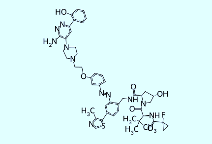 Cc1ncsc1-c1ccc(CNC(=O)[C@H]2C[C@H](O)CN2C(=O)[C@@H](NC(=O)C2(F)CC2)C(C)(C)C)c(/N=N/c2cccc(OCCN3CCN(c4cc(-c5ccccc5O)nnc4N)CC3)c2)c1